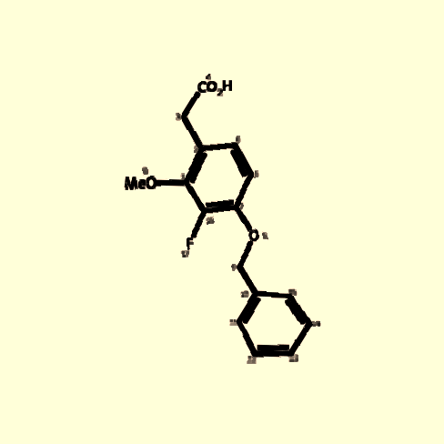 COc1c(CC(=O)O)ccc(OCc2ccccc2)c1F